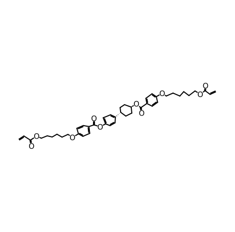 C=CC(=O)OCCCCCCOc1ccc(C(=O)Oc2ccc([C@H]3CC[C@H](OC(=O)c4ccc(OCCCCCCOC(=O)C=C)cc4)CC3)cc2)cc1